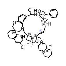 CO[C@@]1(CN2CCN3CCCC[C@@H]3C2)/C=C/C[C@@H]2C[C@]2(Cc2ccccc2)S(=O)(=O)NC(=O)c2ccc3c(c2)N(C[C@@H]2CC[C@H]21)C[C@@]1(CCCc2cc(Cl)ccc21)CO3